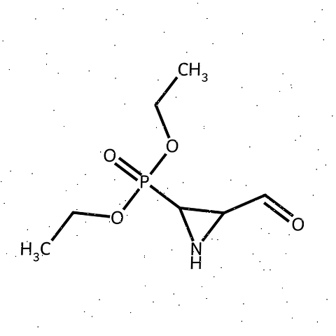 CCOP(=O)(OCC)C1NC1C=O